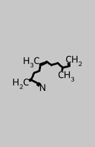 C=CC(C)CCC=C(C)CCC(=C)C#N